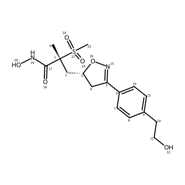 C[C@@](C[C@H]1CC(c2ccc(CCO)cc2)=NO1)(C(=O)NO)S(C)(=O)=O